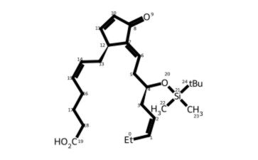 CC/C=C\C[C@@H](C/C=C1/C(=O)C=C[C@@H]1C/C=C\CCCC(=O)O)O[Si](C)(C)C(C)(C)C